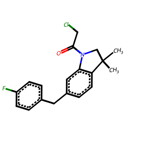 CC1(C)CN(C(=O)CCl)c2cc(Cc3ccc(F)cc3)ccc21